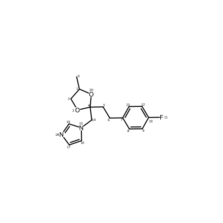 CC1COC(CCc2ccc(F)cc2)(Cn2ccnc2)O1